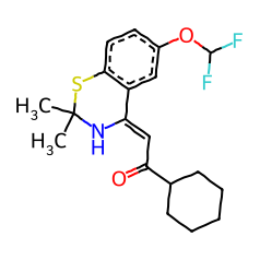 CC1(C)N/C(=C\C(=O)C2CCCCC2)c2cc(OC(F)F)ccc2S1